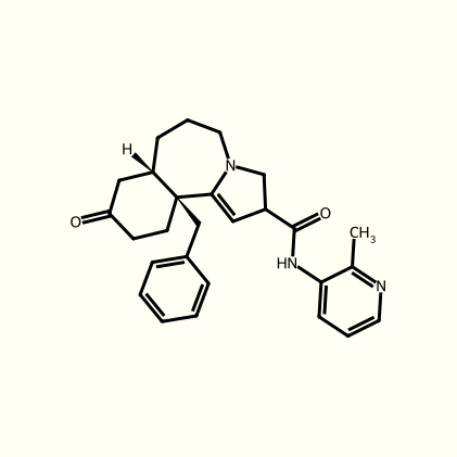 Cc1ncccc1NC(=O)C1C=C2N(CCC[C@H]3CC(=O)CC[C@@]23Cc2ccccc2)C1